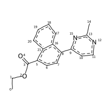 CCOC(=O)c1ccc(-c2ccnc(C)n2)c2ccccc12